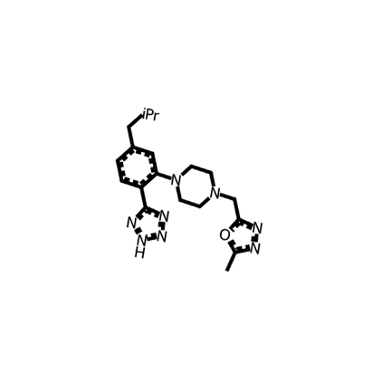 Cc1nnc(CN2CCN(c3cc(CC(C)C)ccc3-c3nn[nH]n3)CC2)o1